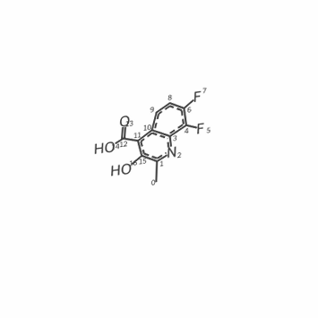 Cc1nc2c(F)c(F)ccc2c(C(=O)O)c1O